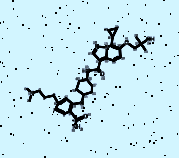 CN(C)CCCc1ccc(C(N)=O)c(OC2CCC(NC(=O)c3cnn4c(C5CC5)c(OCC(C)(C)O)ccc34)CC2)c1